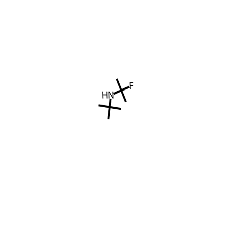 CC(C)(C)NC(C)(C)F